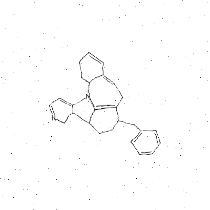 C1=CC2=CCC3=C4C(CCC3Cc3ccccc3)C3CN=CC=C3N4C2CC1